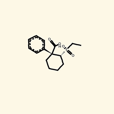 CCS(=O)(=O)[C@@H]1CCCC[C@@]1(C(=O)O)c1ccccc1